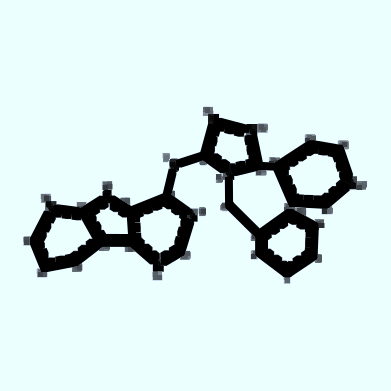 c1ccc(Cn2c(Sc3ncnc4c3sc3ncccc34)nnc2-c2ccncc2)cc1